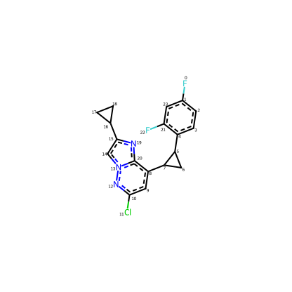 Fc1ccc(C2CC2c2cc(Cl)nn3cc(C4CC4)nc23)c(F)c1